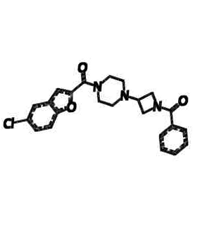 O=C(c1ccccc1)N1CC(N2CCN(C(=O)c3cc4cc(Cl)ccc4o3)CC2)C1